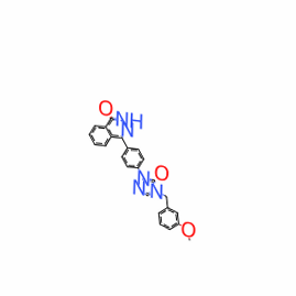 COc1cccc(Cn2cnn(-c3ccc(-c4n[nH]c(=O)c5ccccc45)cc3)c2=O)c1